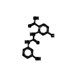 O=C(Nc1cccc(O)c1)Nc1cc(Cl)ccc1C(=O)O